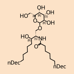 CCCCCCCCCCCCCCCC(=O)N[C@@H](COC1O[C@H](CO)[C@H](O)[C@H](O)[C@H]1O)[C@H](O)CCCCCCCCCCCCCCC